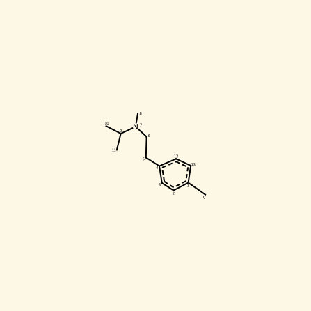 Cc1ccc(CCN(C)C(C)C)cc1